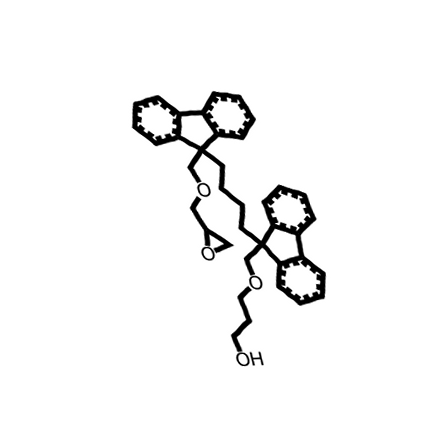 OCCCOCC1(CCCCC2(COCC3CO3)c3ccccc3-c3ccccc32)c2ccccc2-c2ccccc21